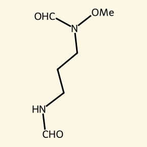 CON(C=O)CCCNC=O